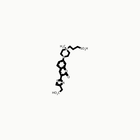 C[N+]1(CCCS(=O)(=O)O)CCN(c2ccc3cc(-c4nc(CC(=O)O)cs4)c(=O)oc3c2)CC1